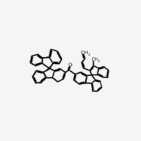 C=C/C=C\C1=C(C)c2ccccc2C12c1ccccc1-c1ccc(C(=O)C3=CCC4C(=C3)C3(c5ccccc5-c5ccccc53)c3ccccc34)cc12